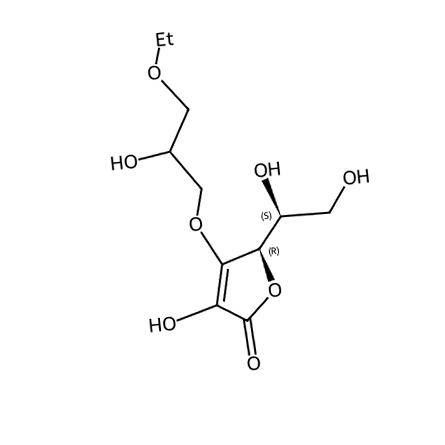 CCOCC(O)COC1=C(O)C(=O)O[C@@H]1[C@@H](O)CO